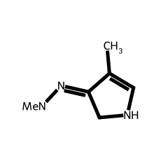 CN/N=C1\CNC=C1C